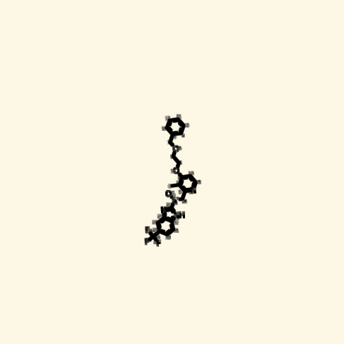 Cc1c(OCCOCc2ccccc2)ccnc1C[S+]([O-])c1nc2cc(C(F)(F)F)ccc2[nH]1